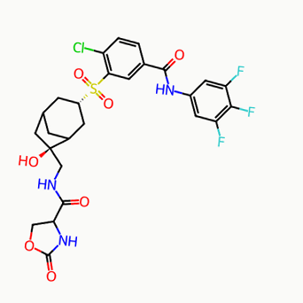 O=C1NC(C(=O)NC[C@]2(O)CC3CC2C[C@@H](S(=O)(=O)c2cc(C(=O)Nc4cc(F)c(F)c(F)c4)ccc2Cl)C3)CO1